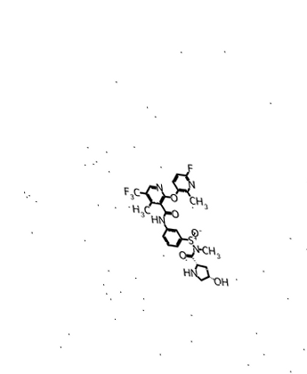 Cc1nc(F)ccc1Oc1ncc(C(F)(F)F)c(C)c1C(=O)Nc1cccc([S@@+]([O-])N(C)C(=O)[C@@H]2C[C@H](O)CN2)c1